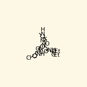 CCOC(CNC(=O)CC1CN(S(=O)(=O)c2cc3cc(Cl)ccc3[nH]2)CCN1C(=O)c1nc2c(s1)CNC(C)C2)OCC